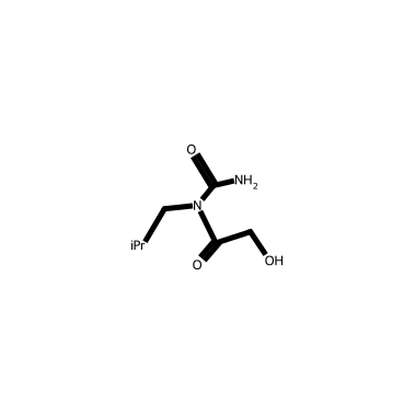 CC(C)CN(C(N)=O)C(=O)CO